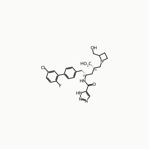 O=C(N[C@H](Cc1ccc(-c2cc(Cl)ccc2F)cc1)C[C@@H](CN1CCC1CO)C(=O)O)c1cnn[nH]1